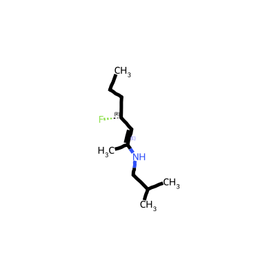 CCC[C@@H](F)/C=C(\C)NCC(C)C